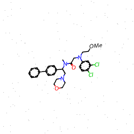 COCCN(CC(=O)N(C)C(CN1CCOCC1)c1ccc(-c2ccccc2)cc1)c1ccc(Cl)c(Cl)c1